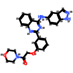 O=C(COc1cccc(-c2nc(Nc3ccc4[nH]ncc4c3)c3ccccc3n2)c1)N1CCOCC1